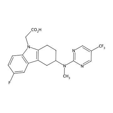 CN(c1ncc(C(F)(F)F)cn1)C1CCc2c(c3cc(F)ccc3n2CC(=O)O)C1